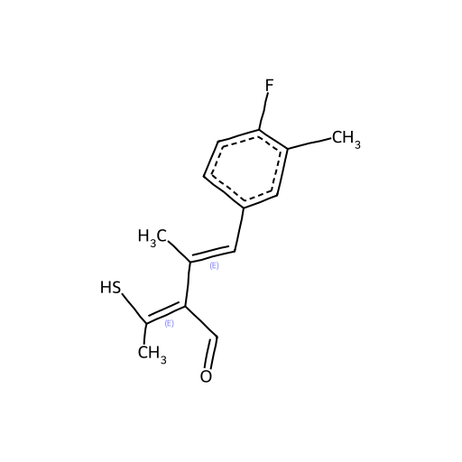 CC(=C\c1ccc(F)c(C)c1)/C(C=O)=C(/C)S